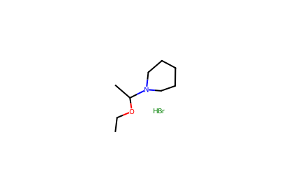 Br.CCOC(C)N1CCCCC1